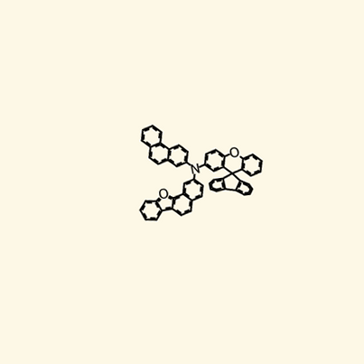 c1ccc2c(c1)Oc1ccc(N(c3ccc4c(ccc5ccccc54)c3)c3ccc4ccc5c6ccccc6oc5c4c3)cc1C21c2ccccc2-c2ccccc21